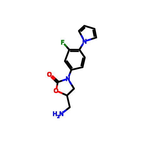 NCC1CN(c2ccc(-n3cccc3)c(F)c2)C(=O)O1